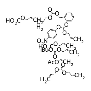 C=CCOC(=O)O.C=CCOC(=O)O.C=CCOC(=O)OCC(C)C.C=CCOC(=O)OCC=C.C=CCOC(=O)OCc1ccccc1.C=CCOC(=O)Oc1ccc([N+](=O)[O-])cc1.C=COC(C)=O